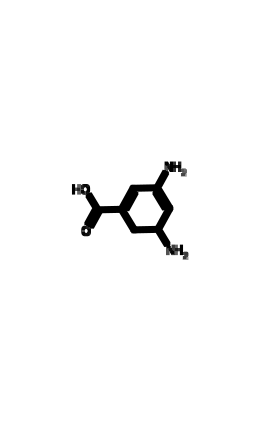 NC1=CC(N)CC(C(=O)O)=C1